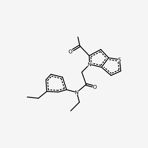 CCc1cccc(N(CC)C(=O)Cn2c(C(C)=O)cc3sccc32)c1